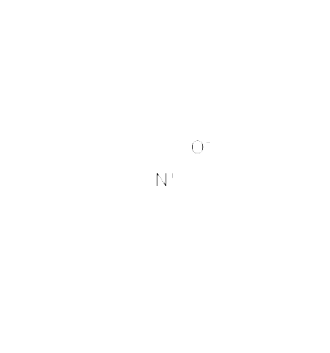 C=C[N+]1([O-])CCCC1